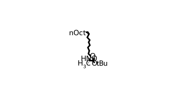 CCCCCCCC/C=C\CCCCCCCC(=O)N[C@@H](C)C(=O)OC(C)(C)C